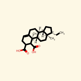 CC[C@H]1CC[C@H]2[C@@H]3CCC4=CCC(C(=O)O)C(C(=O)O)[C@]4(C)[C@H]3CC[C@]12C